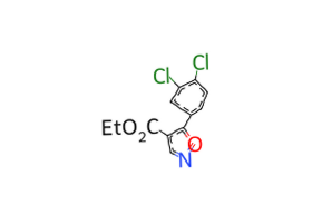 CCOC(=O)c1cnoc1-c1ccc(Cl)c(Cl)c1